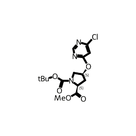 COC(=O)[C@@H]1C[C@H](Oc2cc(Cl)ncn2)CN1C(=O)OC(C)(C)C